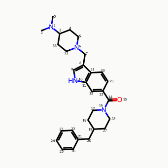 CN(C)C1CCN(Cc2c[nH]c3cc(C(=O)N4CCC(Cc5ccccc5)CC4)ccc23)CC1